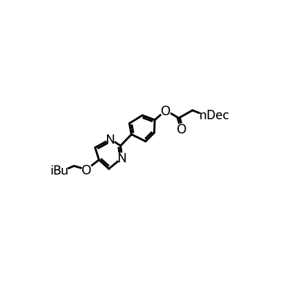 CCCCCCCCCCCC(=O)Oc1ccc(-c2ncc(OCC(C)CC)cn2)cc1